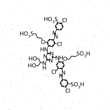 O=S(=O)(O)CCCOc1cc(N=Nc2ccc(Cl)c(S(=O)(=O)O)c2)c(Cl)cc1Nc1nc(Nc2cc(Cl)c(N=Nc3ccc(Cl)c(S(=O)(=O)O)c3)cc2OCCCS(=O)(=O)O)nc(NC(CO)CO)n1